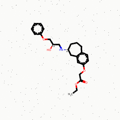 CCOC(=O)COc1ccc2c(c1)C[C@H](NC[C@@H](O)COc1ccccc1)CCC2